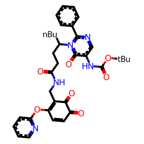 CCCCC(CCC(=O)NCC1=C(Oc2ccccn2)C=CC(=O)C1=O)n1c(-c2ccccc2)ncc(NC(=O)OC(C)(C)C)c1=O